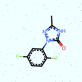 Cc1nn(-c2cc(F)ccc2F)c(=O)[nH]1